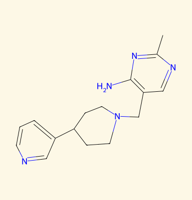 Cc1ncc(CN2CCC(c3cccnc3)CC2)c(N)n1